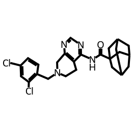 O=C(Nc1ncnc2c1CCN(Cc1ccc(Cl)cc1Cl)C2)C12CC3CC(CC(C3)C1)C2